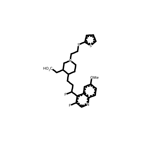 COc1ccc2ncc(F)c(C(F)CCC3CCN(CCSc4cccs4)CC3CC(=O)O)c2c1